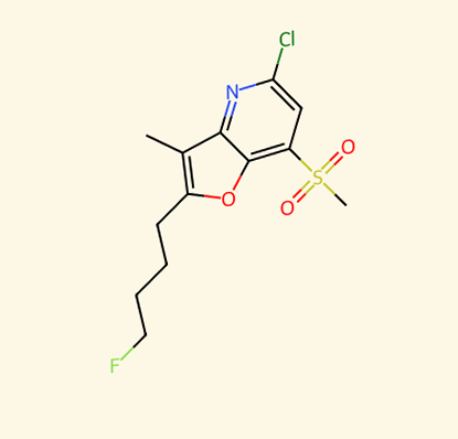 Cc1c(CCCCF)oc2c(S(C)(=O)=O)cc(Cl)nc12